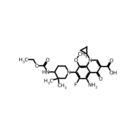 CCOC(=O)NC1CCN(c2c(F)c(N)c3c(=O)c(C(=O)O)cn(C4CC4)c3c2OC)CC1(C)C